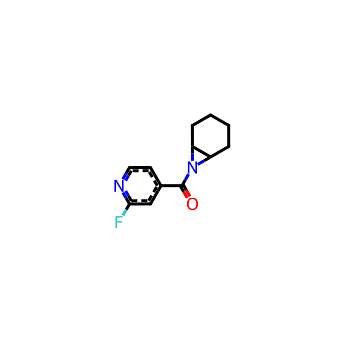 O=C(c1ccnc(F)c1)N1C2CCCCC21